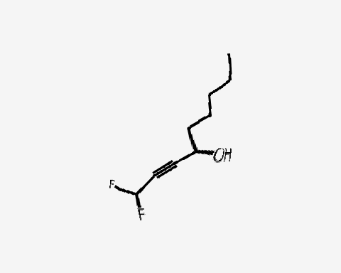 CCCCCC(O)C#CC(F)F